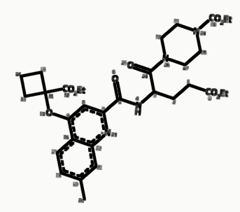 CCOC(=O)CCC(NC(=O)c1cc(OC2(C(=O)OCC)CCC2)c2ccc(C)cc2n1)C(=O)N1CCN(C(=O)OCC)CC1